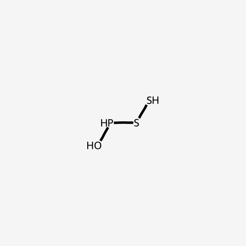 OPSS